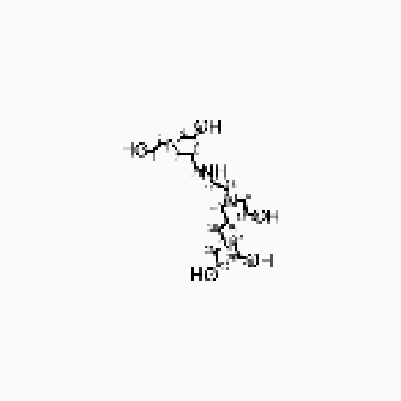 OCCN(CCO)CCCNCCN(CCO)CCCN(CCO)CCO